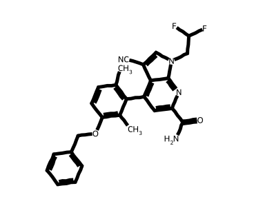 Cc1ccc(OCc2ccccc2)c(C)c1-c1cc(C(N)=O)nc2c1c(C#N)cn2CC(F)F